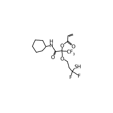 C=CC(=O)OC(OCCC(F)(F)S)(C(=O)NC1CCCCC1)C(F)(F)F